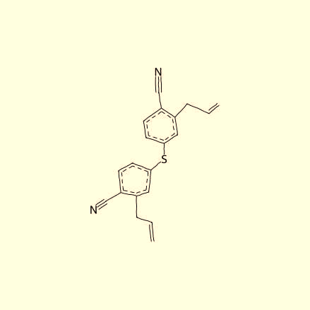 C=CCc1cc(Sc2ccc(C#N)c(CC=C)c2)ccc1C#N